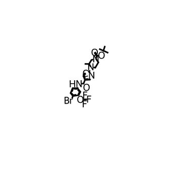 CC1CN(C(=O)OC(C)(C)C)CCN1c1ccc(C(=O)Nc2ccc(Br)c(OC(F)(F)F)c2)cn1